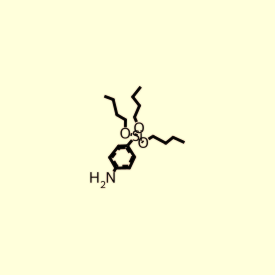 CCCCO[Si](OCCCC)(OCCCC)c1ccc(N)cc1